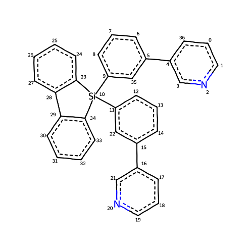 c1cncc(-c2cccc([Si]3(c4cccc(-c5cccnc5)c4)c4ccccc4-c4ccccc43)c2)c1